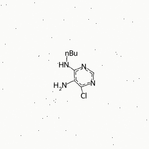 CCCCNc1ncnc(Cl)c1N